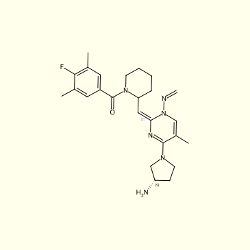 C=NN1C=C(C)C(N2CC[C@H](N)C2)=N/C1=C/C1CCCCN1C(=O)c1cc(C)c(F)c(C)c1